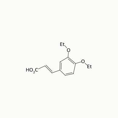 CCOc1ccc(C=CC(=O)O)cc1OCC